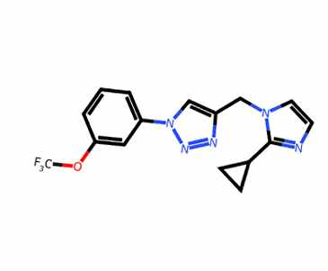 FC(F)(F)Oc1cccc(-n2cc(Cn3ccnc3C3CC3)nn2)c1